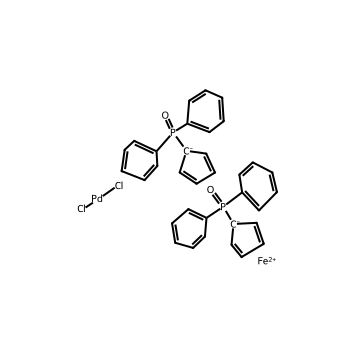 O=P(c1ccccc1)(c1ccccc1)[c-]1cccc1.O=P(c1ccccc1)(c1ccccc1)[c-]1cccc1.[Cl][Pd][Cl].[Fe+2]